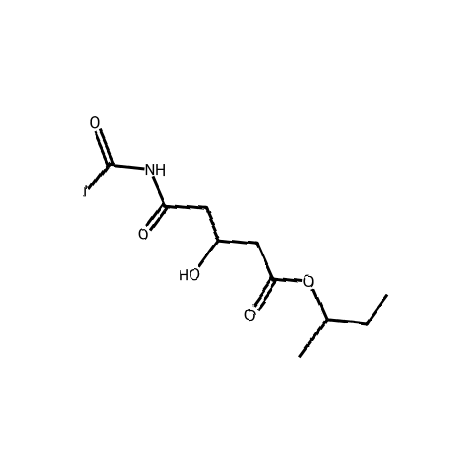 CCC(C)OC(=O)CC(O)CC(=O)NC(=O)I